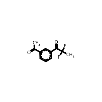 CC(F)(F)C(=O)c1cccc(C(=O)C(F)(F)F)c1